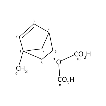 CC12C=CC(CC1)C2.O=C(O)OC(=O)O